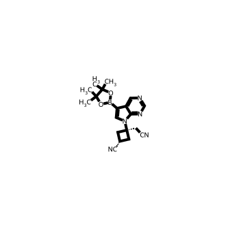 CC1(C)OB(c2cn([C@]3(CC#N)C[C@@H](C#N)C3)c3ncncc23)OC1(C)C